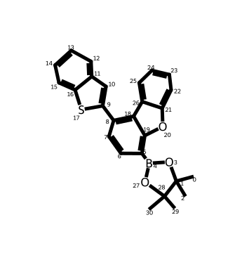 CC1(C)OB(c2ccc(-c3cc4ccccc4s3)c3c2oc2ccccc23)OC1(C)C